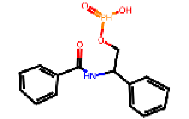 O=C(NC(CO[PH](=O)O)c1ccccc1)c1ccccc1